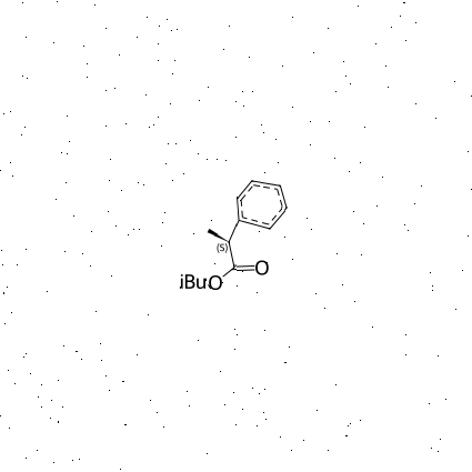 CC(C)COC(=O)[C@@H](C)c1ccccc1